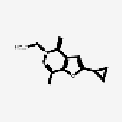 C=C1c2cc(C3CC3)oc2C(C)=NN1CC(=O)O